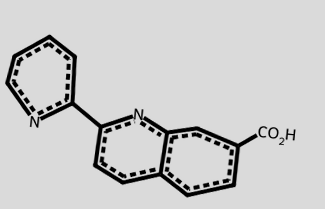 O=C(O)c1ccc2ccc(-c3ccccn3)nc2c1